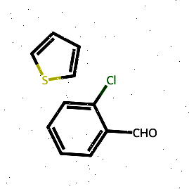 O=Cc1ccccc1Cl.c1ccsc1